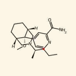 CCC[C@@H](C)N1C[C@H]2CCC[C@@H](C1)[C@]2(OC)c1ccnc(C(N)=O)c1